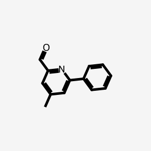 Cc1cc(C=O)nc(-c2ccccc2)c1